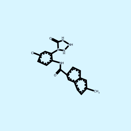 Cc1ccc2cc(C(=O)Nc3ccc(Cl)cc3N3NNNC3=O)ccc2c1